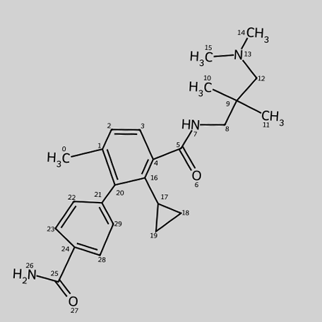 Cc1ccc(C(=O)NCC(C)(C)CN(C)C)c(C2CC2)c1-c1ccc(C(N)=O)cc1